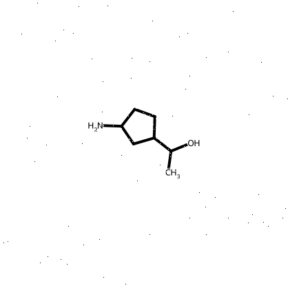 CC(O)C1CCC(N)C1